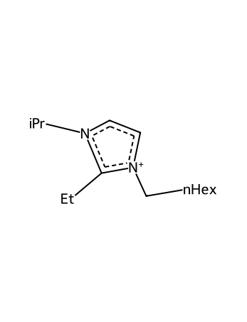 CCCCCCC[n+]1ccn(C(C)C)c1CC